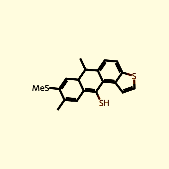 CSC1=CC2C(=C(S)c3c(ccc4sccc34)C2C)C=C1C